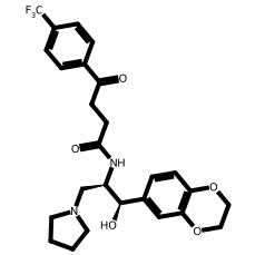 O=C(CCC(=O)c1ccc(C(F)(F)F)cc1)N[C@H](CN1CCCC1)[C@H](O)c1ccc2c(c1)OCCO2